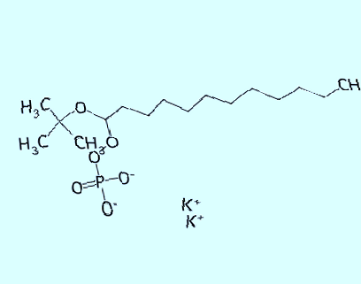 CCCCCCCCCCCC(OOP(=O)([O-])[O-])OC(C)(C)C.[K+].[K+]